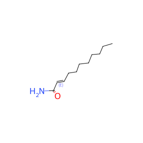 CCCCCCCC/C=C/C(N)=O